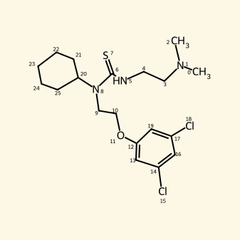 CN(C)CCNC(=S)N(CCOc1cc(Cl)cc(Cl)c1)C1CCCCC1